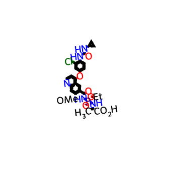 CCOP(=O)(NC(=O)c1cc2c(Oc3ccc(NC(=O)NC4CC4)c(Cl)c3)ccnc2cc1OC)NC(C)C(=O)O